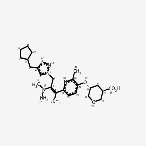 C/C(=C(/Cn1cc(CC2CCCC2)nn1)N(C)N)c1ccc(O[C@H]2COC[C@H](C(=O)O)C2)c(C)n1